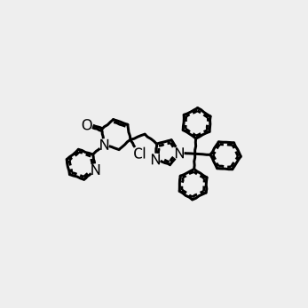 O=C1C=CC(Cl)(Cc2cn(C(c3ccccc3)(c3ccccc3)c3ccccc3)cn2)CN1c1ccccn1